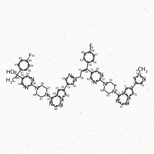 Cn1cc(-c2cc3c(N4CCN(c5ncc(/C(=C\Cn6cc(-c7cc8c(N9CCN(c%10ncc(C(C)(O)c%11ccc(F)cc%11)cn%10)CC9)ncnn8c7)cn6)c6ccc(F)cc6)cn5)CC4)ncnn3c2)cn1